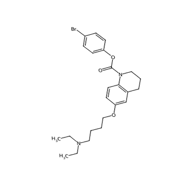 CCN(CC)CCCCOc1ccc2c(c1)CCCN2C(=O)Oc1ccc(Br)cc1